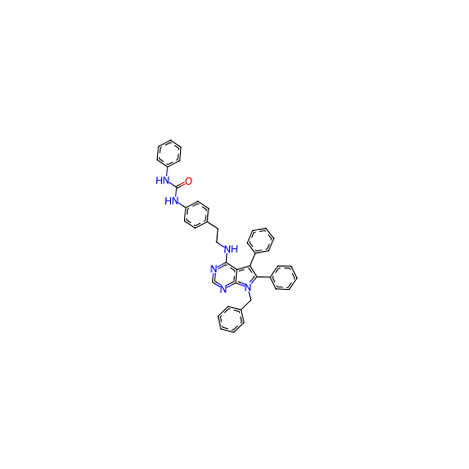 O=C(Nc1ccccc1)Nc1ccc(CCNc2ncnc3c2c(-c2ccccc2)c(-c2ccccc2)n3Cc2ccccc2)cc1